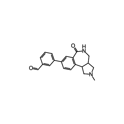 CN1CC2CNC(=O)c3cc(-c4cccc(C=O)c4)ccc3C2C1